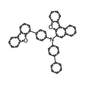 c1ccc(-c2ccc(N(c3ccc(-c4cccc5c4oc4ccccc45)cc3)c3cc4ccccc4c4c3oc3ccccc34)cc2)cc1